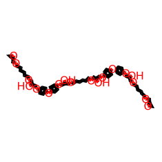 OC(COCCCCCCOCC(O)COc1ccc(Oc2ccc(OCC(O)COCCCCCCOCC3CO3)cc2)cc1)COc1ccc(Oc2ccc(OCC(O)COCCCCCCOCC3CO3)cc2)cc1